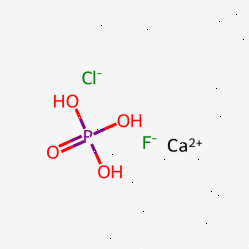 O=P(O)(O)O.[Ca+2].[Cl-].[F-]